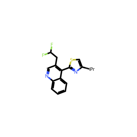 CC(C)c1csc(-c2c(CC(F)F)[c]nc3ccccc23)n1